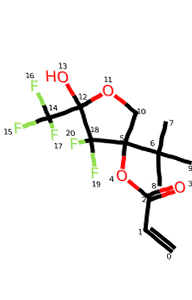 C=CC(=O)OC1(C(C)(C)C)COC(O)(C(F)(F)F)C1(F)F